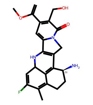 C=C(OC)c1cc2n(c(=O)c1CO)CC1=C2NC2C=C(F)C(C)=C3CC[C@H](N)C1=C32